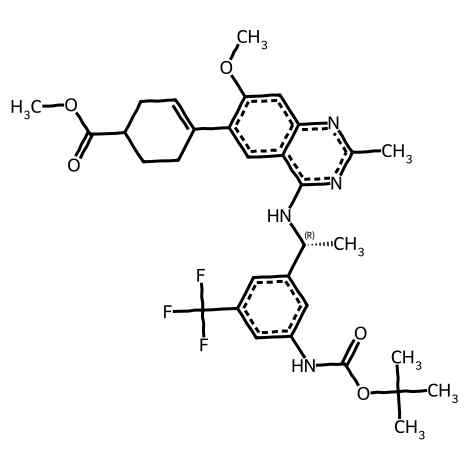 COC(=O)C1CC=C(c2cc3c(N[C@H](C)c4cc(NC(=O)OC(C)(C)C)cc(C(F)(F)F)c4)nc(C)nc3cc2OC)CC1